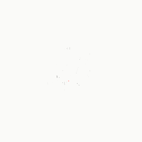 O=C(O)N1CC(N2CCCc3cc(C(F)(F)F)cc(-c4ccnc5cc(CO)sc45)c32)CC12CCC2